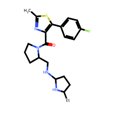 CCC1CCC(NCC2CCCN2C(=O)c2nc(C)sc2-c2ccc(F)cc2)N1